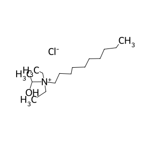 CCCCCCCCCC[N+](CC)(CC)C(C)O.[Cl-]